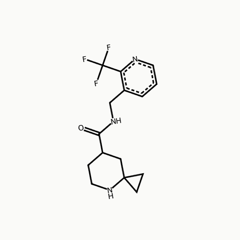 O=C(NCc1cccnc1C(F)(F)F)C1CCNC2(CC2)C1